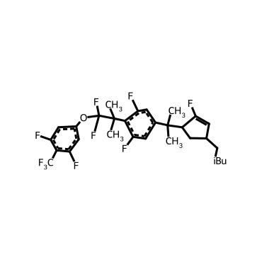 CCC(C)CC1C=C(F)C(C(C)(C)c2cc(F)c(C(C)(C)C(F)(F)Oc3cc(F)c(C(F)(F)F)c(F)c3)c(F)c2)C1